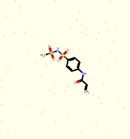 C=CC(=O)Nc1ccc(S(=O)(=O)NS(C)(=O)=O)cc1